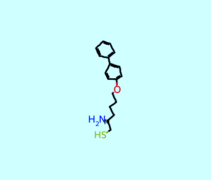 N[C@@H](CS)CCCCOc1ccc(-c2ccccc2)cc1